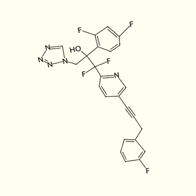 OC(Cn1cnnn1)(c1ccc(F)cc1F)C(F)(F)c1ccc(C#CCc2cccc(F)c2)cn1